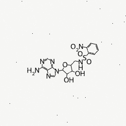 Nc1ncnc2c1ncn2C1OC(CNS(=O)(=O)c2ccccc2[N+](=O)[O-])C(O)C1O